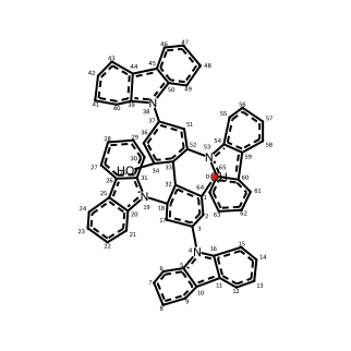 Oc1cc(-n2c3ccccc3c3ccccc32)cc(-n2c3ccccc3c3ccccc32)c1-c1c(O)cc(-n2c3ccccc3c3ccccc32)cc1-n1c2ccccc2c2ccccc21